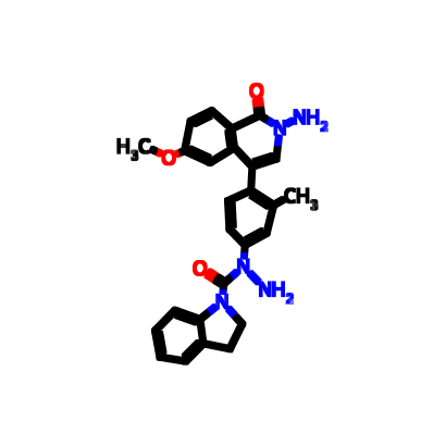 COc1ccc2c(=O)n(N)cc(-c3ccc(N(N)C(=O)N4CCc5ccccc54)cc3C)c2c1